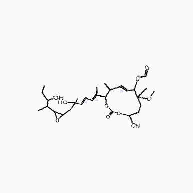 CCC(O)C(C)C1OC1CC(C)(O)/C=C/C=C(\C)C1OC(=O)CC(O)CCC(C)(OC)C(OC=O)/C=C/C1C